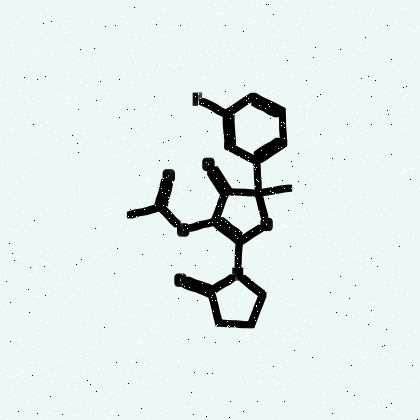 CC(=O)OC1=C(N2CCCC2=O)OC(C)(c2cccc(F)c2)C1=O